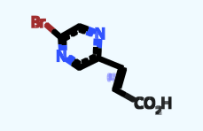 O=C(O)/C=C/c1cnc(Br)cn1